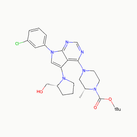 C[C@@H]1CN(c2ncnc3c2c(N2CCC[C@@H]2CO)cn3-c2cccc(Cl)c2)CCN1C(=O)OC(C)(C)C